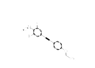 CCC(C)COc1ccc(C#Cc2cc(F)c(N=C=S)c(F)c2)cc1